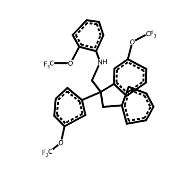 FC(F)(F)Oc1cccc(C(CNc2ccccc2OC(F)(F)F)(Cc2ccccc2)c2cccc(OC(F)(F)F)c2)c1